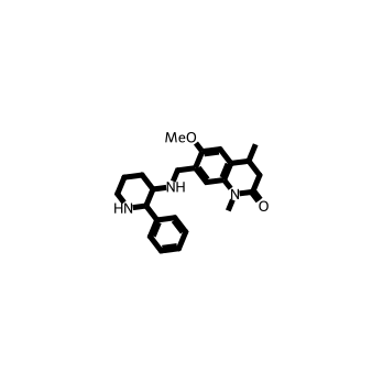 COc1cc2c(cc1CNC1CCCNC1c1ccccc1)N(C)C(=O)CC2C